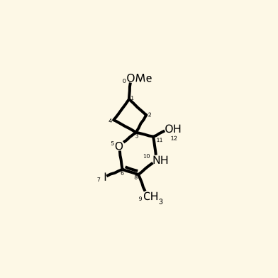 COC1CC2(C1)OC(I)=C(C)NC2O